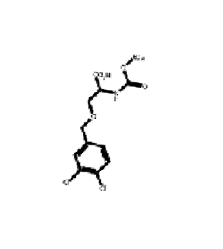 CC(C)(C)OC(=O)NC(COCc1ccc(Cl)c(Cl)c1)C(=O)O